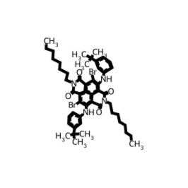 CCCCCCCCN1C(=O)c2c(Br)c(Nc3cccc(C(C)(C)C)c3)c3c4c(c(Nc5cccc(C(C)(C)C)c5)c(Br)c(c24)C1=O)C(=O)N(CCCCCCCC)C3=O